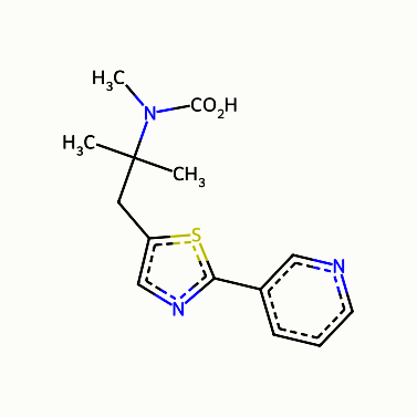 CN(C(=O)O)C(C)(C)Cc1cnc(-c2cccnc2)s1